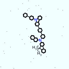 CC1(C)c2ccccc2-c2ccc(N(c3cccc(-c4ccc(-c5ccc6c(c5)c5ccccc5n6-c5ccc(-c6ccccc6)cc5)cc4)c3)c3ccc4ccccc4c3)cc21